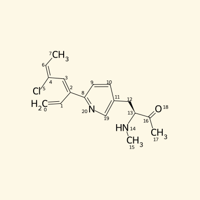 C=C/C(=C\C(Cl)=C/C)c1ccc(C[C@H](NC)C(C)=O)cn1